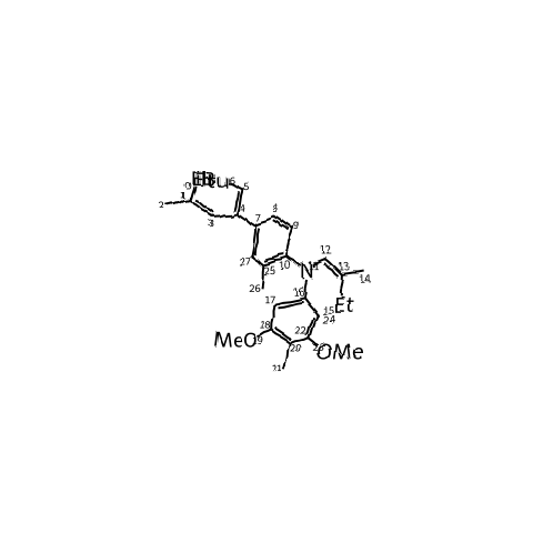 CC/C(C)=C\C(=C/C(C)CC)c1ccc(N(/C=C(/C)CC)c2cc(OC)c(C)c(OC)c2)c(C)c1